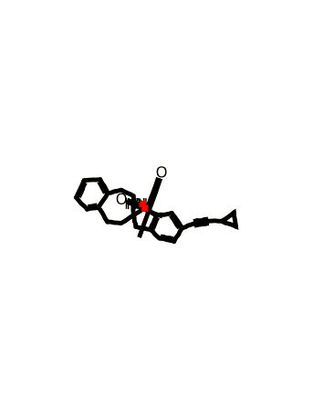 O=C1NC(=O)C2(N1)c1cc(C#CC3CC3)ccc1CC21CCc2ccccc2CC1